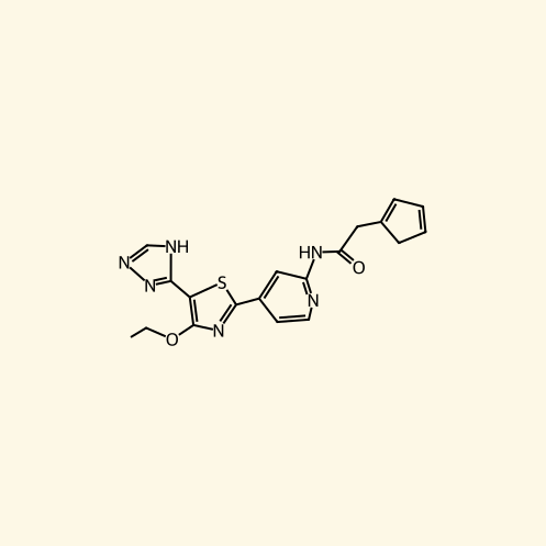 CCOc1nc(-c2ccnc(NC(=O)CC3=CC=CC3)c2)sc1-c1nnc[nH]1